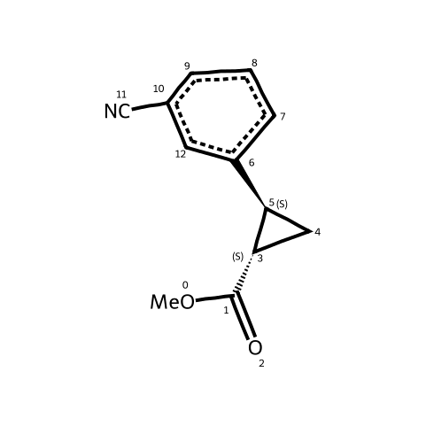 COC(=O)[C@H]1C[C@@H]1c1cccc(C#N)c1